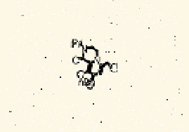 CCCCOc1c2n(c(CCl)cc1=O)CCN(C(C)C)C2=O